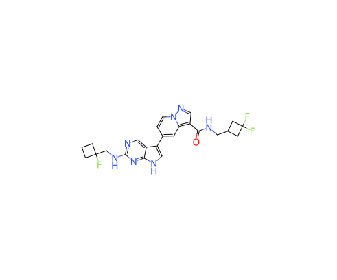 O=C(NCC1CC(F)(F)C1)c1cnn2ccc(-c3c[nH]c4nc(NCC5(F)CCC5)ncc34)cc12